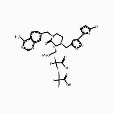 COC[C@H]1C(=O)N(Cc2ccc3c(N)ncnc3c2)CCN1Cc1cc(-c2ccc(Cl)s2)on1.O=C(O)C(F)(F)F.O=C(O)C(F)(F)F